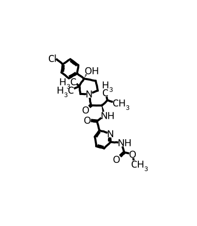 COC(=O)Nc1cccc(C(=O)N[C@@H](C(=O)N2CC[C@](O)(c3ccc(Cl)cc3)C(C)(C)C2)C(C)C)n1